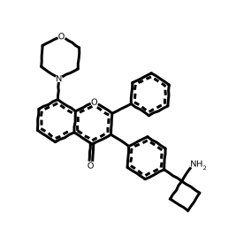 NC1(c2ccc(-c3c(-c4ccccc4)oc4c(N5CCOCC5)cccc4c3=O)cc2)CCC1